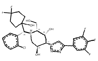 OC[C@@H]1[C@H](O)[C@@H](n2cc(-c3cc(F)c(F)c(F)c3)nn2)[C@@H](O)C[SH]1[C@H](c1ccccc1Cl)C1(O)CCC(F)(F)CC1